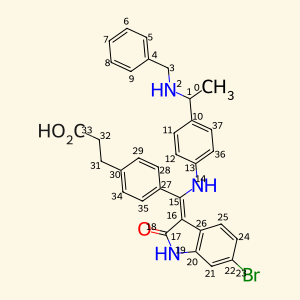 CC(NCc1ccccc1)c1ccc(NC(=C2C(=O)Nc3cc(Br)ccc32)c2ccc(CCC(=O)O)cc2)cc1